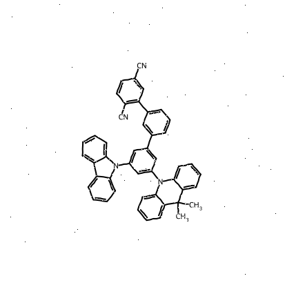 CC1(C)c2ccccc2N(c2cc(-c3cccc(-c4cc(C#N)ccc4C#N)c3)cc(-n3c4ccccc4c4ccccc43)c2)c2ccccc21